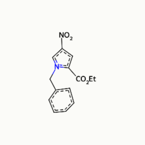 CCOC(=O)c1cc([N+](=O)[O-])cn1Cc1ccccc1